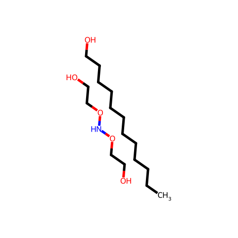 CCCCCCCCCCCCO.OCCONOCCO